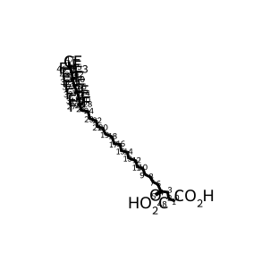 O=C(O)CC(CC(=O)CCCCCCCCCCCCCCCCCCCCC(F)(F)C(F)(F)C(F)(F)C(F)(F)C(F)(F)C(F)(F)C(F)(F)C(F)(F)F)C(=O)O